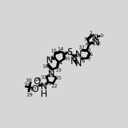 Cn1ccc(-c2ccc3nnc(Sc4ccc5ncc(N6CCC(NC(=O)OC(C)(C)C)C6)cc5c4)n3c2)n1